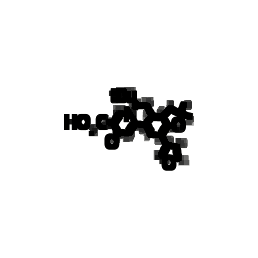 CC1(C)Cc2c3c(cc(-c4ccoc4)c2O1)-c1cc(=O)c(C(=O)O)cn1C(C(C)(C)C)C3